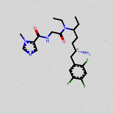 CCC(CC[C@H](N)Cc1cc(F)c(F)cc1F)N(CC)C(=O)CNC(=O)c1cncn1C